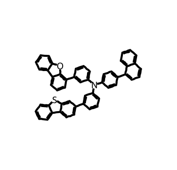 c1cc(-c2ccc3c(c2)sc2ccccc23)cc(N(c2ccc(-c3cccc4ccccc34)cc2)c2cccc(-c3cccc4c3oc3ccccc34)c2)c1